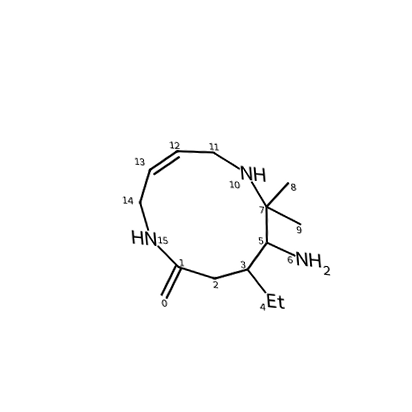 C=C1CC(CC)C(N)C(C)(C)NC/C=C\CN1